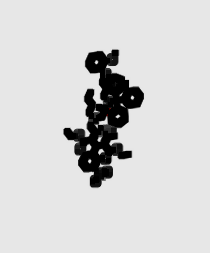 CCCCN(CC1=C(C(=O)OCC)C(c2cccc([N+](=O)[O-])c2)C(C(=O)OCC)=C(C)N1)CC(C)(C)N(CC(O)COc1ccccc1OC)C(c1ccccc1)(c1ccccc1)c1ccccc1